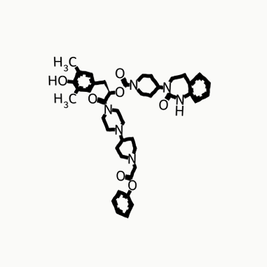 Cc1cc(C[C@@H](OC(=O)N2CCC(N3CCc4ccccc4NC3=O)CC2)C(=O)N2CCN(C3CCN(CC(=O)Oc4ccccc4)CC3)CC2)cc(C)c1O